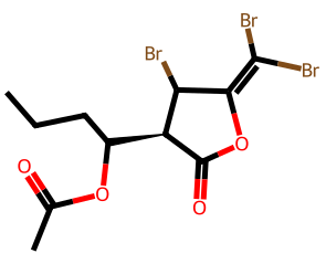 CCCC(OC(C)=O)[C@@H]1C(=O)OC(=C(Br)Br)C1Br